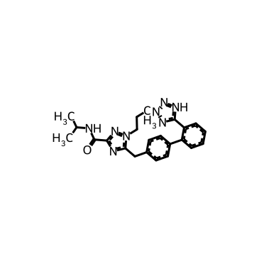 CCCn1nc(C(=O)NC(C)C)nc1Cc1ccc(-c2ccccc2-c2nnn[nH]2)cc1